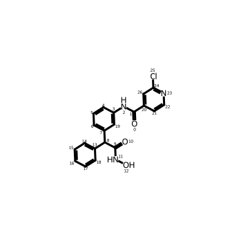 O=C(Nc1cccc(C(C(=O)NO)c2ccccc2)c1)c1ccnc(Cl)c1